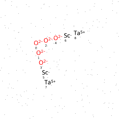 [O-2].[O-2].[O-2].[O-2].[O-2].[Sc].[Sc].[Ta+5].[Ta+5]